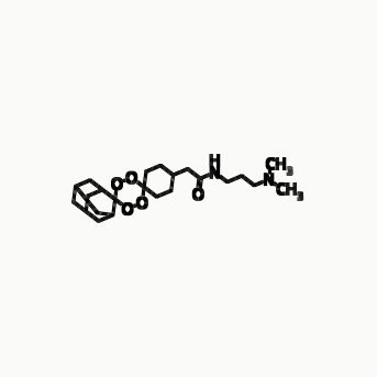 CN(C)CCCNC(=O)CC1CCC2(CC1)OOC1(OO2)C2CC3CC(C2)CC1C3